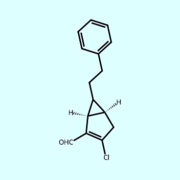 O=CC1=C(Cl)C[C@@H]2C(CCc3ccccc3)[C@H]12